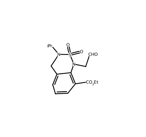 CCOC(=O)c1cccc2c1N(CC=O)S(=O)(=O)N(C(C)C)C2